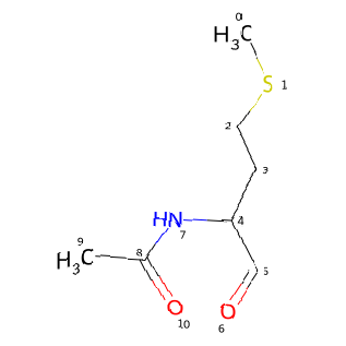 CSCCC(C=O)NC(C)=O